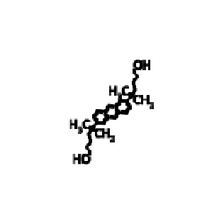 CC(C)(CCCCO)c1ccc2cc3cc(C(C)(C)CCCCO)ccc3cc2c1